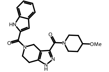 COC1CCN(C(=O)c2n[nH]c3c2CN(C(=O)c2cc4ccccc4[nH]2)CC3)CC1